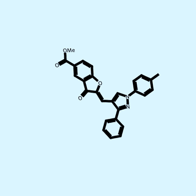 COC(=O)c1ccc2c(c1)C(=O)/C(=C/c1cn(-c3ccc(C)cc3)nc1-c1ccccc1)O2